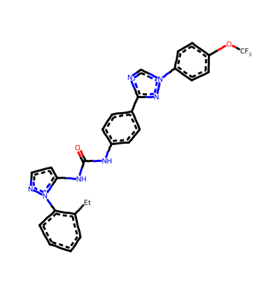 CCc1ccccc1-n1nccc1NC(=O)Nc1ccc(-c2ncn(-c3ccc(OC(F)(F)F)cc3)n2)cc1